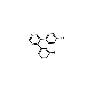 Clc1ccc(-c2cn[c]nc2-c2cccc(Br)c2)cc1